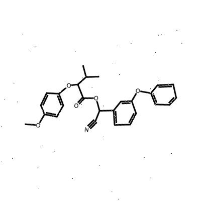 COc1ccc(OC(C(=O)OC(C#N)c2cccc(Oc3ccccc3)c2)C(C)C)cc1